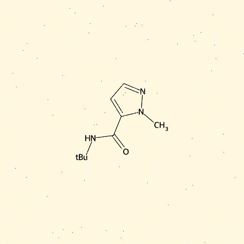 Cn1nccc1C(=O)NC(C)(C)C